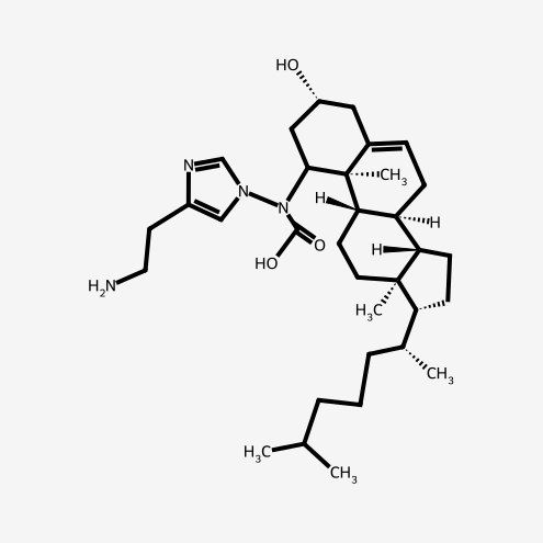 CC(C)CCC[C@@H](C)[C@H]1CC[C@H]2[C@@H]3CC=C4C[C@@H](O)CC(N(C(=O)O)n5cnc(CCN)c5)[C@]4(C)[C@H]3CC[C@]12C